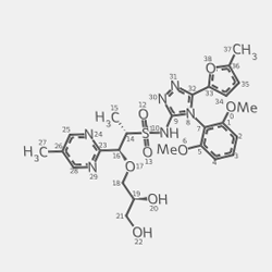 COc1cccc(OC)c1-n1c(NS(=O)(=O)[C@@H](C)[C@@H](OC[C@@H](O)CO)c2ncc(C)cn2)nnc1-c1ccc(C)o1